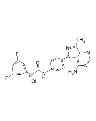 Cc1nn(-c2ccc(NC(=O)[C@H](O)c3cc(F)cc(F)c3)cc2)c2c(N)ncnc12